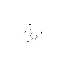 CC(=O)OC[C@H]1O[C@@H](OC(C)=O)[C@H](N)[C@@H](OC(C)=O)[C@H]1OC(C)=O